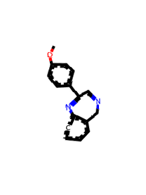 COc1ccc(C2=Nc3ccccc3CN=C2)cc1